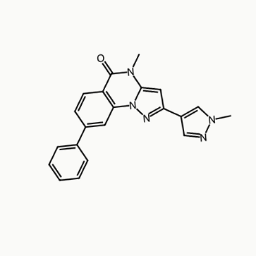 Cn1cc(-c2cc3n(C)c(=O)c4ccc(-c5ccccc5)cc4n3n2)cn1